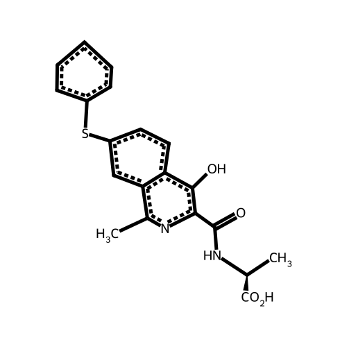 Cc1nc(C(=O)N[C@@H](C)C(=O)O)c(O)c2ccc(Sc3ccccc3)cc12